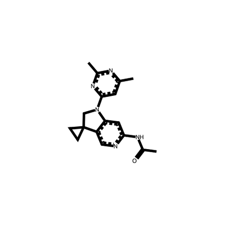 CC(=O)Nc1cc2c(cn1)C1(CC1)CN2c1cc(C)nc(C)n1